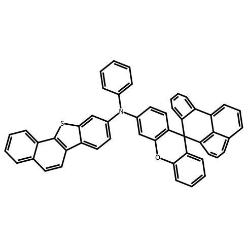 c1ccc(N(c2ccc3c(c2)Oc2ccccc2C32c3ccccc3-c3cccc4cccc2c34)c2ccc3c(c2)sc2c4ccccc4ccc32)cc1